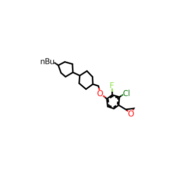 CCCCC1CCC(C2CCC(COc3ccc(C4CO4)c(Cl)c3F)CC2)CC1